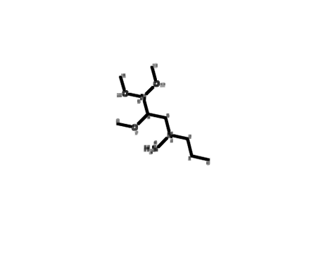 CCCN([SiH3])CC(OC)N(OC)OC